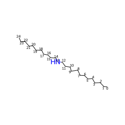 CCCCCCCCCCCCCNCCCCCCCCCCC